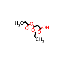 C=CC(=O)OC(CC(=O)O)OCCC